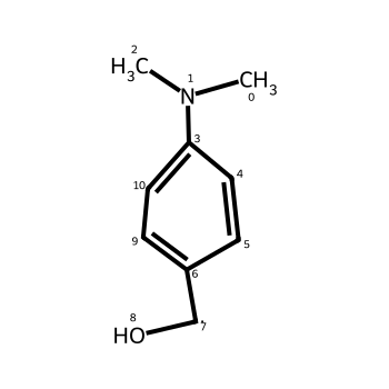 CN(C)c1ccc([CH]O)cc1